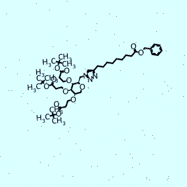 CC(C)(C)OC(=O)CCO[C@H]1[C@H](OCCC(=O)OC(C)(C)C)[C@@H](Cn2cc(CCCCCCCCC(=O)OCc3ccccc3)nn2)OC[C@@H]1OCCC(=O)OC(C)(C)C